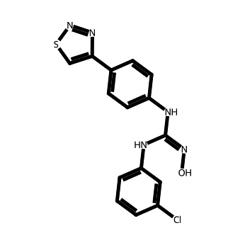 O/N=C(/Nc1ccc(-c2csnn2)cc1)Nc1cccc(Cl)c1